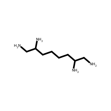 NCC(N)CCCCC(N)CN